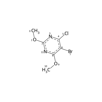 COc1nc(Cl)c(Br)c(OC)n1